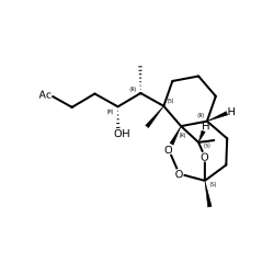 CC(=O)CC[C@@H](O)[C@H](C)[C@]1(C)CCC[C@@H]2CC[C@]3(C)OO[C@]21[C@H](C)O3